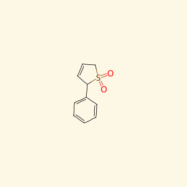 O=S1(=O)CC=CC1c1ccccc1